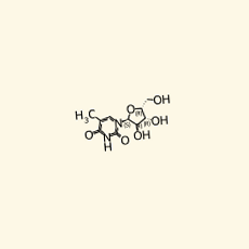 Cc1cn([C@H]2O[C@H](CO)[C@H](O)[C@H]2O)c(=O)[nH]c1=O